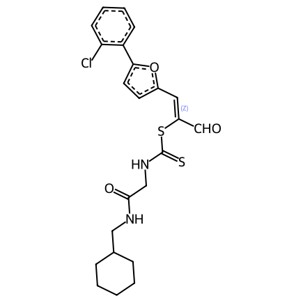 O=C/C(=C/c1ccc(-c2ccccc2Cl)o1)SC(=S)NCC(=O)NCC1CCCCC1